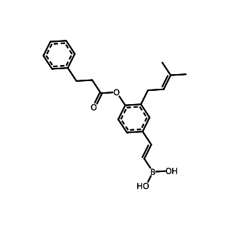 CC(C)=CCc1cc(C=CB(O)O)ccc1OC(=O)CCc1ccccc1